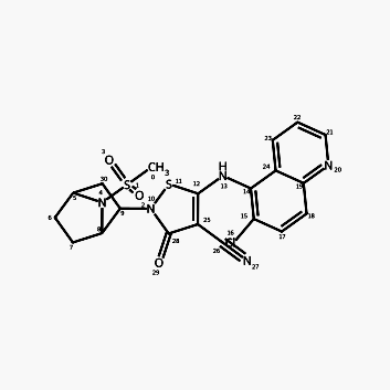 CS(=O)(=O)N1C2CCC1C(n1sc(Nc3c(Cl)ccc4ncccc34)c(C#N)c1=O)C2